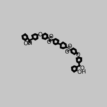 O=C(c1ccc(Oc2ccc(S(=O)(=O)c3ccc(-c4ccc(S(=O)(=O)c5ccc(Oc6ccc(C(=O)c7ccccc7O)cc6)cc5)cc4)cc3)cc2)cc1)c1ccccc1O